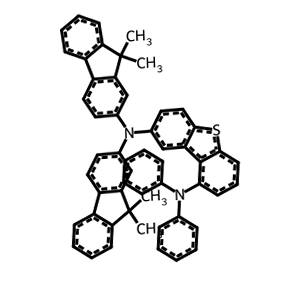 CC1(C)c2ccccc2-c2ccc(N(c3ccc4c(c3)C(C)(C)c3ccccc3-4)c3ccc4sc5cccc(N(c6ccccc6)c6ccccc6)c5c4c3)cc21